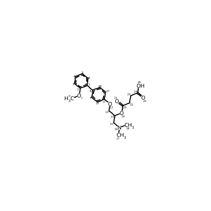 COc1ccccc1-c1ccc(OCC(CN(C)C)OC(=O)CCC(=O)O)cc1